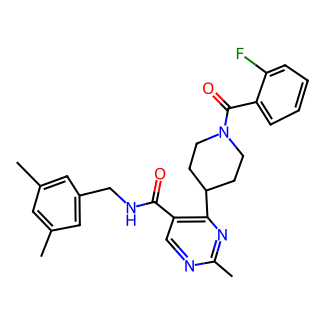 Cc1cc(C)cc(CNC(=O)c2cnc(C)nc2C2CCN(C(=O)c3ccccc3F)CC2)c1